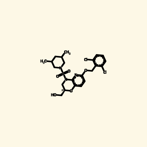 CC1CC(C)CN(S(=O)(=O)N2C[C@H](CO)Oc3ccc(OCc4c(Cl)cccc4Cl)nc32)C1